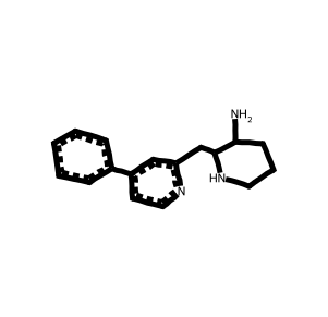 NC1CCCNC1Cc1cc(-c2ccccc2)ccn1